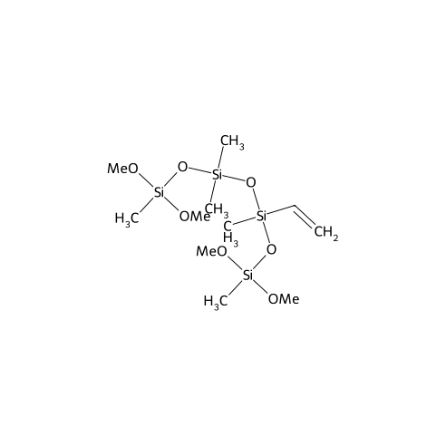 C=C[Si](C)(O[Si](C)(C)O[Si](C)(OC)OC)O[Si](C)(OC)OC